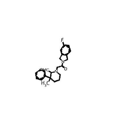 CC1(c2ccccc2)CCCN(CC(=O)N2Cc3ccc(F)cc3C2)C1C=O